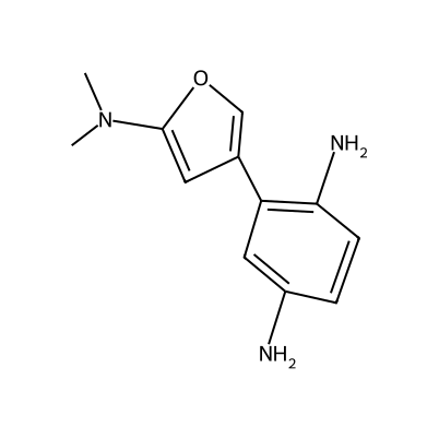 CN(C)c1cc(-c2cc(N)ccc2N)co1